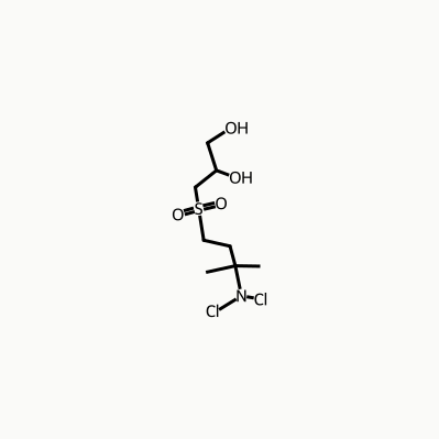 CC(C)(CCS(=O)(=O)CC(O)CO)N(Cl)Cl